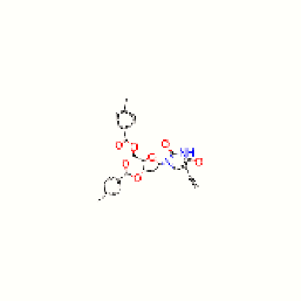 C#Cc1cn([C@H]2C[C@H](OC(=O)c3ccc(C)cc3)[C@@H](COC(=O)c3ccc(C)cc3)O2)c(=O)[nH]c1=O